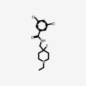 CCN1CCC(F)(CNC(=O)c2cc(Cl)cc(Cl)c2)CC1